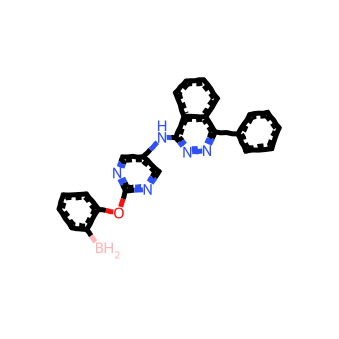 Bc1ccccc1Oc1ncc(Nc2nnc(-c3ccccc3)c3ccccc23)cn1